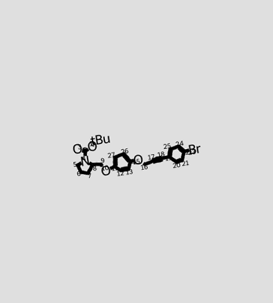 CC(C)(C)OC(=O)N1CCCC1COc1ccc(OCC#Cc2ccc(Br)cc2)cc1